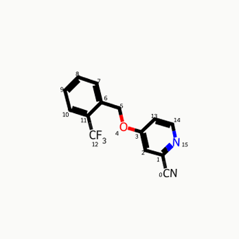 N#Cc1cc(OCc2ccccc2C(F)(F)F)ccn1